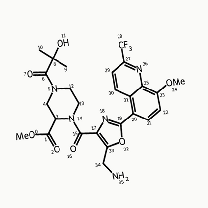 COC(=O)C1CN(C(=O)C(C)(C)O)CCN1C(=O)c1nc(-c2ccc(OC)c3nc(C(F)(F)F)ccc23)oc1CN